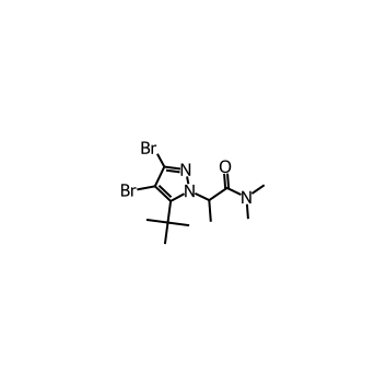 CC(C(=O)N(C)C)n1nc(Br)c(Br)c1C(C)(C)C